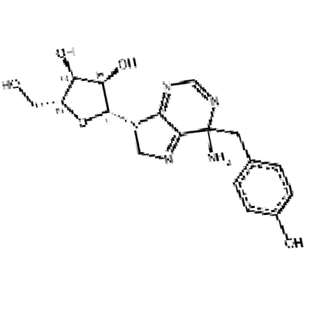 NC1(Cc2ccc(O)cc2)N=CN=C2C1=NCN2[C@@H]1O[C@H](CO)[C@@H](O)[C@H]1O